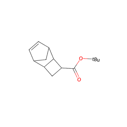 CC(C)(C)OC(=O)C1CC2C3C=CC(C3)C12